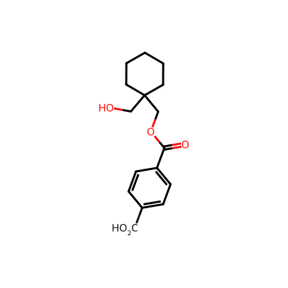 O=C(O)c1ccc(C(=O)OCC2(CO)CCCCC2)cc1